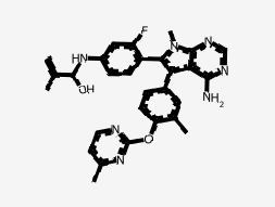 C=C(C)C(O)Nc1ccc(-c2c(-c3ccc(Oc4nccc(C)n4)c(C)c3)c3c(N)ncnc3n2C)c(F)c1